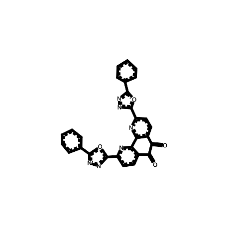 O=C1C(=O)c2ccc(-c3nnc(-c4ccccc4)o3)nc2-c2nc(-c3nnc(-c4ccccc4)o3)ccc21